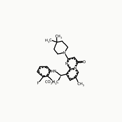 Cc1cc([C@@H](C)Nc2cccc(F)c2C(=O)O)c2nc(N3CCC(C)(C)CC3)cc(=O)n2c1